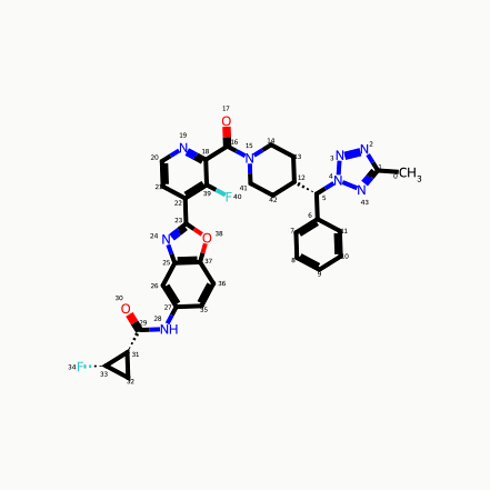 Cc1nnn([C@H](c2ccccc2)C2CCN(C(=O)c3nccc(-c4nc5cc(NC(=O)[C@@H]6C[C@@H]6F)ccc5o4)c3F)CC2)n1